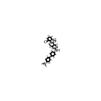 CN(C)c1ccc(-c2ccc(Nc3ncc4c(n3)SCN(c3c(Cl)cccc3Cl)C4=O)cc2)cc1